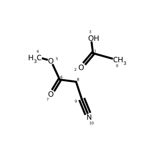 CC(=O)O.COC(=O)CC#N